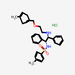 CC1=CCC(COCCN[C@@H](c2ccccc2)[C@H](NS(=O)(=O)c2ccc(C)cc2)c2ccccc2)=CC1.Cl